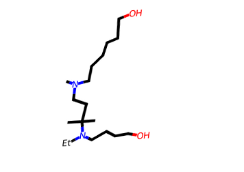 CCN(CCCCO)C(C)(C)CCN(C)CCCCCCO